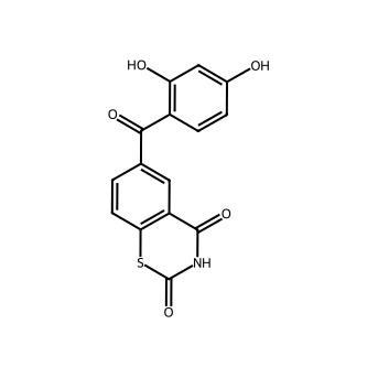 O=C(c1ccc2sc(=O)[nH]c(=O)c2c1)c1ccc(O)cc1O